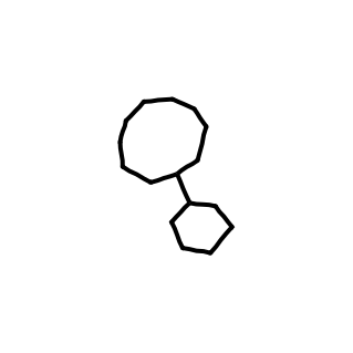 C1CCCCC(C2CCCCC2)CCCC1